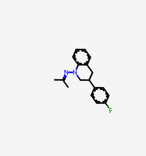 CC(C)=NN1CC(c2ccc(F)cc2)Cc2ccccc21